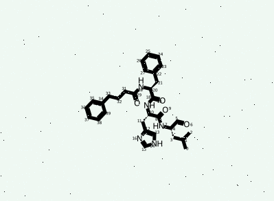 CC(C)C[C@@H](C=O)NC(=O)[C@H](Cc1c[nH]cn1)NC(=O)[C@H](Cc1ccccc1)NC(=O)CCCc1ccccc1